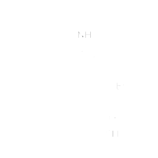 COc1ccc(/C=C2\C(=O)Nc3ccccc32)cc1Br